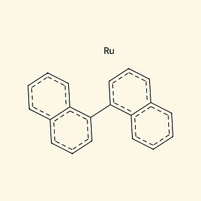 [Ru].c1ccc2c(-c3cccc4ccccc34)cccc2c1